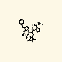 NC(=O)C1CCCN1C(=O)C(Cc1[nH]c(I)nc1I)N(C(=O)O)N1CCC(Cc2ccccc2)C1=O